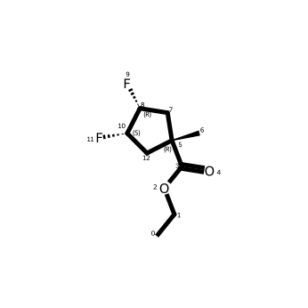 CCOC(=O)[C@@]1(C)C[C@@H](F)[C@@H](F)C1